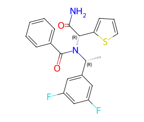 C[C@H](c1cc(F)cc(F)c1)N(C(=O)c1ccccc1)[C@H](C(N)=O)c1cccs1